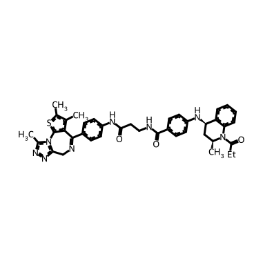 CCC(=O)N1c2ccccc2[C@H](Nc2ccc(C(=O)NCCC(=O)Nc3ccc(C4=NCc5nnc(C)n5-c5sc(C)c(C)c54)cc3)cc2)C[C@@H]1C